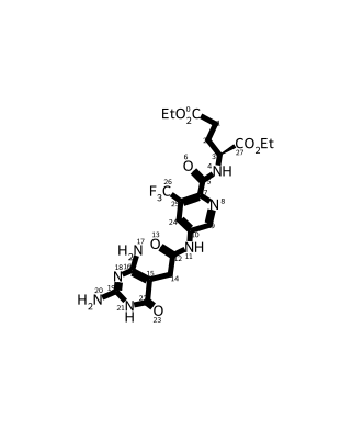 CCOC(=O)CC[C@H](NC(=O)c1ncc(NC(=O)Cc2c(N)nc(N)[nH]c2=O)cc1C(F)(F)F)C(=O)OCC